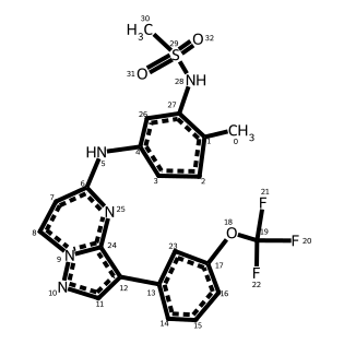 Cc1ccc(Nc2ccn3ncc(-c4cccc(OC(F)(F)F)c4)c3n2)cc1NS(C)(=O)=O